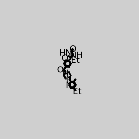 CCc1cnc(N2CCN(C(=O)c3ccc(C4(CC)NC(=O)NC4=O)cc3)CC2)c(C)c1